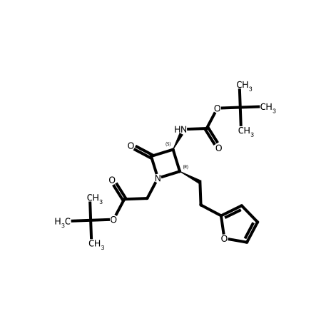 CC(C)(C)OC(=O)CN1C(=O)[C@@H](NC(=O)OC(C)(C)C)[C@H]1CCc1ccco1